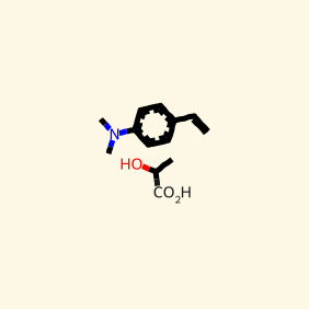 C=Cc1ccc(N(C)C)cc1.CC(O)C(=O)O